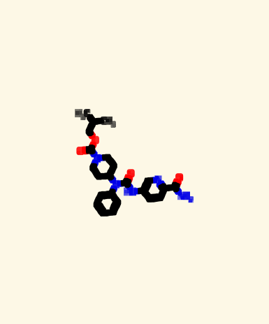 CC(C)COC(=O)N1CCC(N(C(=O)Nc2ccc(C(N)=O)nc2)c2ccccc2)CC1